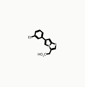 CCc1cccc(-c2cc3scc(CC(=O)O)n3c2)c1